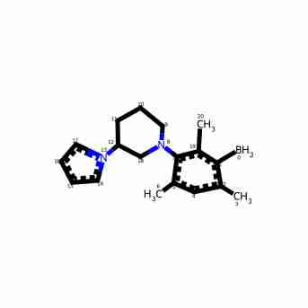 Bc1c(C)cc(C)c(N2CCCC(n3cccc3)C2)c1C